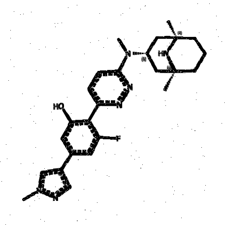 CN(c1ccc(-c2c(O)cc(-c3cnn(C)c3)cc2F)nn1)[C@H]1C[C@]2(C)CCC[C@](C)(C1)N2